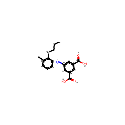 CC[CH2][Sn][c]1ccccc1C.Nc1cc(C(=O)O)cc(C(=O)O)c1